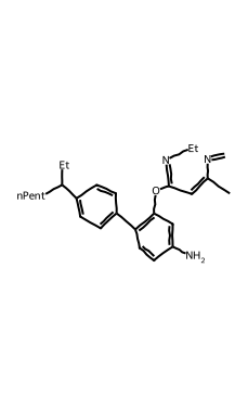 C=N/C(C)=C\C(=N/CC)Oc1cc(N)ccc1-c1ccc(C(CC)CCCCC)cc1